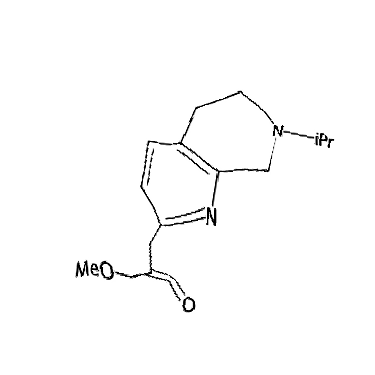 COC(=O)c1ccc2c(n1)CN(C(C)C)CC2